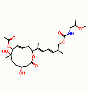 COC(C)CNC(=O)OC[C@@H](C)/C=C/C=C(\C)[C@H]1OC(=O)C[C@@H](O)CC[C@](C)(O)[C@@H](OC(C)=O)/C=C/[C@@H]1C